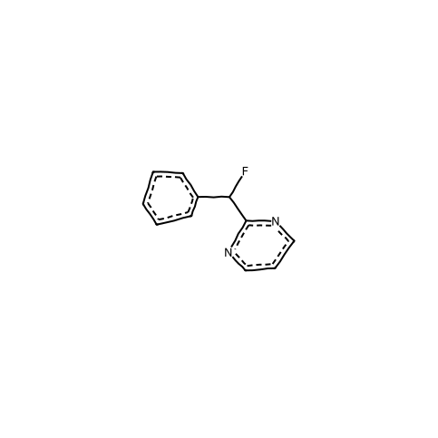 FC(c1ccccc1)c1ncccn1